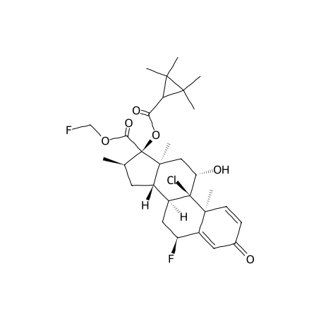 C[C@@H]1C[C@H]2[C@@H]3C[C@H](F)C4=CC(=O)C=C[C@]4(C)[C@@]3(Cl)[C@@H](O)C[C@]2(C)[C@@]1(OC(=O)C1C(C)(C)C1(C)C)C(=O)OCF